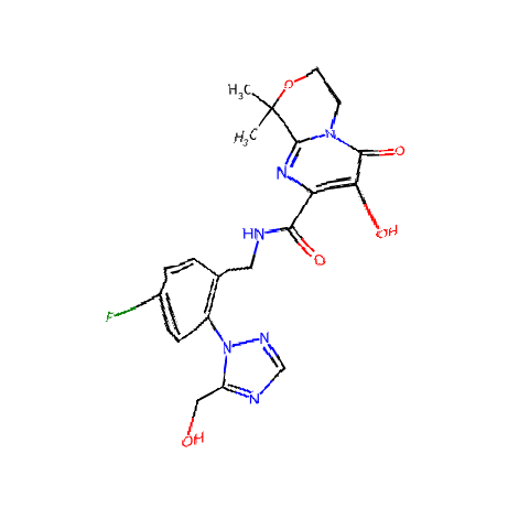 CC1(C)OCCn2c1nc(C(=O)NCc1ccc(F)cc1-n1ncnc1CO)c(O)c2=O